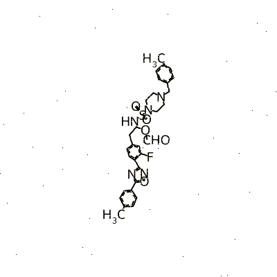 Cc1ccc(CN2CCN(S(=O)(=O)NC(Cc3ccc(-c4noc(-c5ccc(C)cc5)n4)c(F)c3)OC=O)CC2)cc1